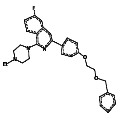 CCN1CCN(c2nc(-c3ccc(OCCOCc4ccccc4)cc3)cc3cc(F)ccc23)CC1